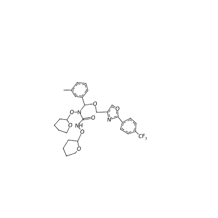 Cc1cccc(C(OCc2coc(-c3ccc(C(F)(F)F)cc3)n2)N(OC2CCCCO2)C(=O)NOC2CCCCO2)c1